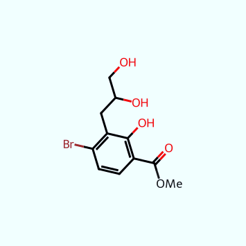 COC(=O)c1ccc(Br)c(CC(O)CO)c1O